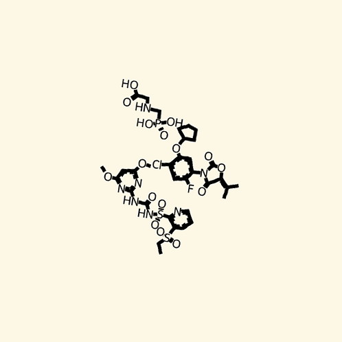 CC(C)=C1OC(=O)N(c2cc(OC3CCCC3)c(Cl)cc2F)C1=O.CCS(=O)(=O)c1cccnc1S(=O)(=O)NC(=O)Nc1nc(OC)cc(OC)n1.O=C(O)CNCP(=O)(O)O